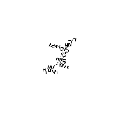 CNC(=O)[C@H](CCCCNC(=N)N)NC(=O)c1csc([C@H]2C[C@@H](NC(C)=O)CN2C(=O)c2cn3cc(Cl)ccc3n2)n1